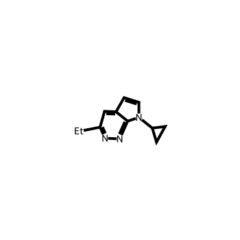 CCc1cc2ccn(C3CC3)c2nn1